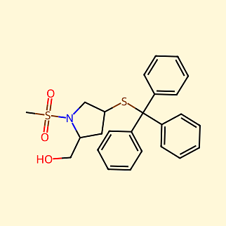 CS(=O)(=O)N1CC(SC(c2ccccc2)(c2ccccc2)c2ccccc2)CC1CO